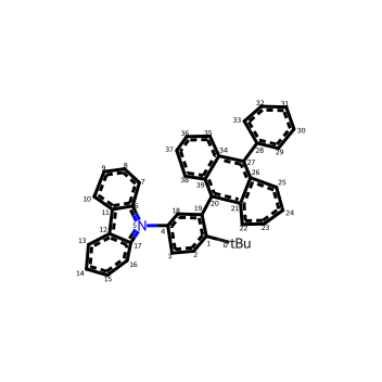 CC(C)(C)c1ccc(-n2c3ccccc3c3ccccc32)cc1-c1c2ccccc2c(-c2ccccc2)c2ccccc12